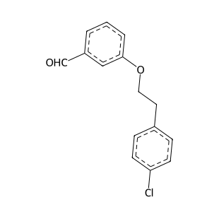 O=Cc1cccc(OCCc2ccc(Cl)cc2)c1